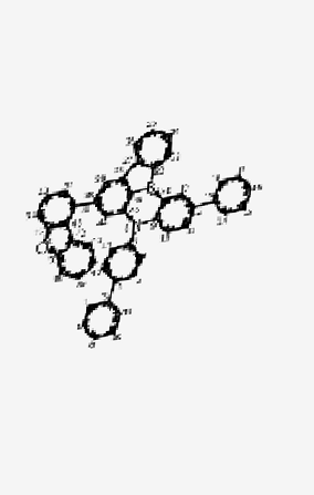 c1ccc(-c2ccc(N3c4ccc(-c5ccccc5)cc4B4c5ccccc5-c5cc(-c6cccc7oc8ccccc8c67)cc3c54)cc2)cc1